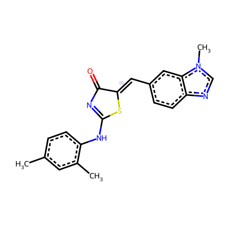 Cc1ccc(NC2=NC(=O)/C(=C/c3ccc4ncn(C)c4c3)S2)c(C)c1